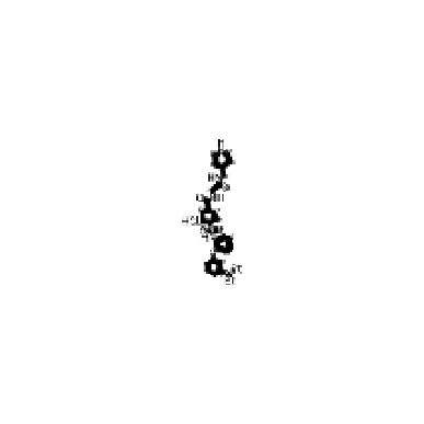 CCN(CC)c1cccc(Oc2ccccc2NS(=O)(=O)c2ccc(C(=O)NCC(=O)NCC3CCNCC3)cc2)c1.Cl